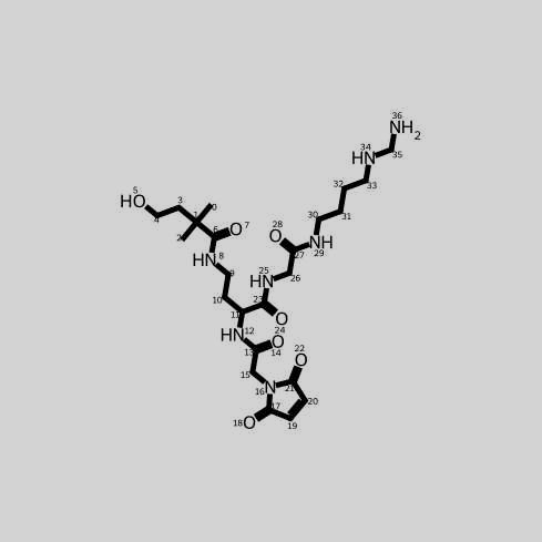 CC(C)(CCO)C(=O)NCCC(NC(=O)CN1C(=O)C=CC1=O)C(=O)NCC(=O)NCCCCNCN